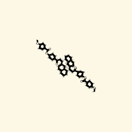 COc1ccc(C(=O)Oc2ccc(C(=O)/C=C\C3=CC=C4C=CC=CC4[C@H]3c3c(/C=C\C(=O)c4ccc(OC(=O)c5ccc(OC)cc5)cc4)ccc4ccccc34)cc2)cc1